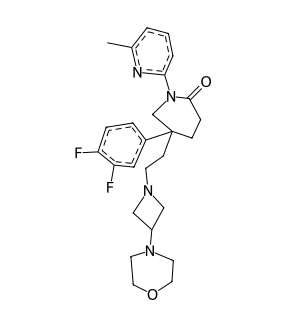 Cc1cccc(N2CC(CCN3CC(N4CCOCC4)C3)(c3ccc(F)c(F)c3)CCC2=O)n1